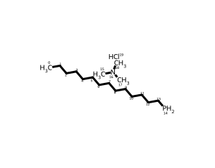 CCCCCCCCCCCCCCP.CN(C)C.Cl